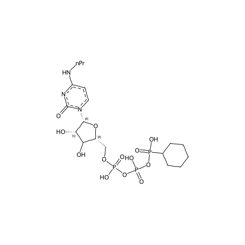 CCCNc1ccn([C@@H]2O[C@H](COP(=O)(O)OP(=O)(O)OP(=O)(O)C3CCCCC3)C(O)[C@@H]2O)c(=O)n1